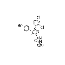 Cc1c(-c2nnc(C(C)(C)C)o2)nn(-c2ccc(Cl)cc2Cl)c1-c1ccc(Br)cc1